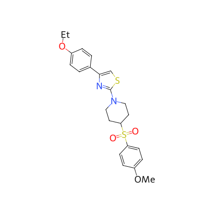 CCOc1ccc(-c2csc(N3CCC(S(=O)(=O)c4ccc(OC)cc4)CC3)n2)cc1